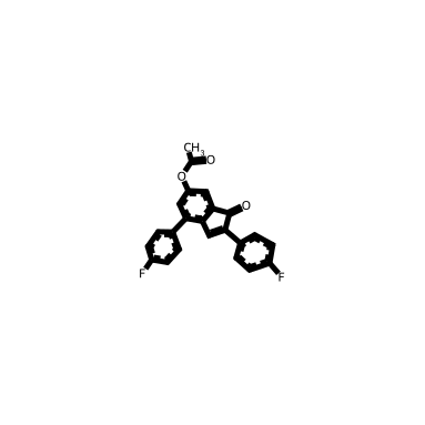 CC(=O)Oc1cc2c(c(-c3ccc(F)cc3)c1)C=C(c1ccc(F)cc1)C2=O